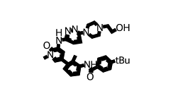 Cc1c(NC(=O)c2ccc(C(C)(C)C)cc2)cccc1-c1cc(Nc2ccc(N3CCN(CCO)CC3)nn2)c(=O)n(C)c1